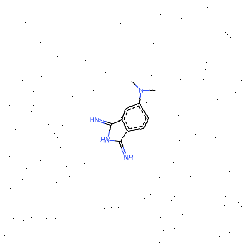 CN(C)c1ccc2c(c1)C(=N)NC2=N